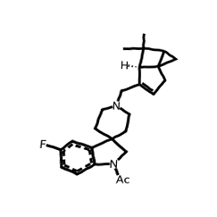 CC(=O)N1CC2(CCN(CC3=CCC45CC4C(C)(C)[C@H]35)CC2)c2cc(F)ccc21